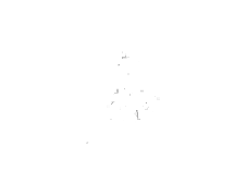 CCCCCC(CCCCN)(C(=O)O)C(=O)C(C)(C)C